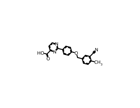 Cc1ccc(COc2ccc(-c3nccc(C(=O)O)n3)cc2)cc1C#N